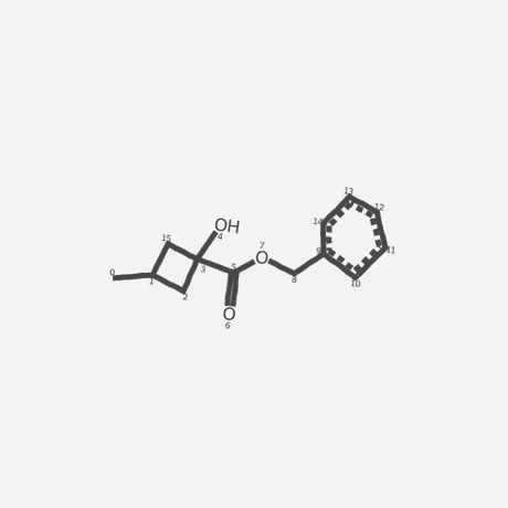 CC1CC(O)(C(=O)OCc2ccccc2)C1